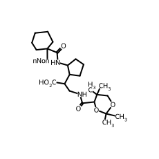 CCCCCCCCCC1(C(=O)NC2CCCC2C(CNC(=O)C2OC(C)(C)OCC2(C)C)C(=O)O)CCCCC1